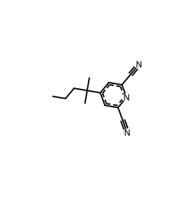 CCCC(C)(C)c1cc(C#N)nc(C#N)c1